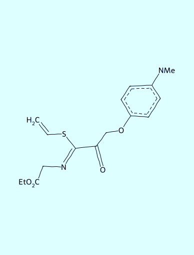 C=CS/C(=N\CC(=O)OCC)C(=O)COc1ccc(NC)cc1